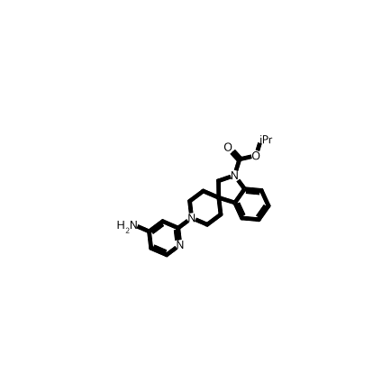 CC(C)OC(=O)N1CC2(CCN(c3cc(N)ccn3)CC2)c2ccccc21